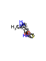 CCc1cc2c(-c3ccc(S(=O)(=O)NC4CCSCC4)cc3)ccnc2[nH]1